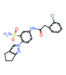 NS(=O)(=O)c1cc(NC(=O)Cc2ccccc2Cl)ccc1-n1cc2c(n1)CCC2